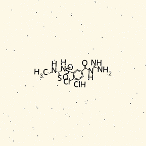 CCNC(=S)NS(=O)(=O)c1cc(C(=O)NC(=N)N)ccc1Cl.Cl